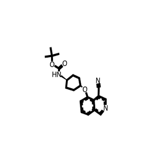 CC(C)(C)OC(=O)N[C@H]1CC[C@H](Oc2cccc3cncc(C#N)c23)CC1